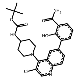 CC(C)(C)OC(=O)NC1CCN(c2c(Cl)cnc3ccc(-c4cccc(C(N)=O)c4O)cc23)CC1